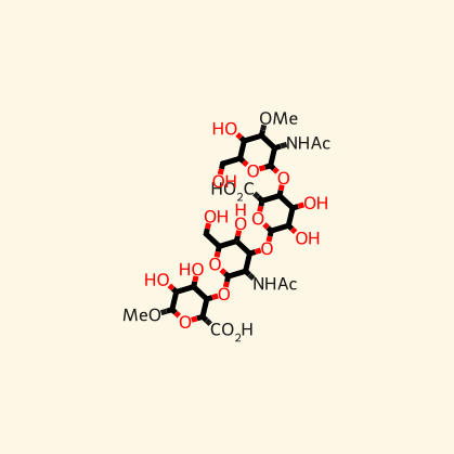 COC1OC(C(=O)O)C(OC2OC(CO)C(O)C(OC3OC(C(=O)O)C(OC4OC(CO)C(O)C(OC)C4NC(C)=O)C(O)C3O)C2NC(C)=O)C(O)C1O